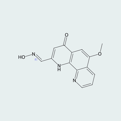 COc1cc2c(=O)cc(/C=N/O)[nH]c2c2ncccc12